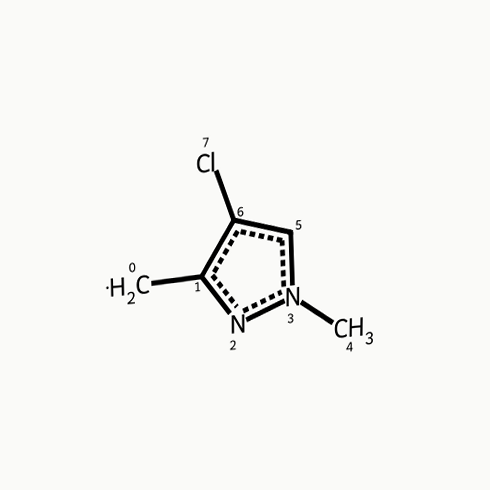 [CH2]c1nn(C)cc1Cl